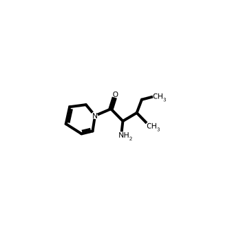 CCC(C)C(N)C(=O)N1C=CC=CC1